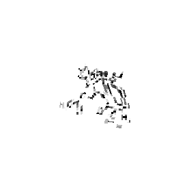 CC(=O)OCC1=C(C(=O)C(C)(C)C)N2C(=O)[C@H](Cl)[C@@H]2S(=O)(=O)C1Sc1nnnn1C